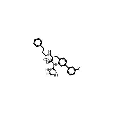 O=C(O)[C@H](CCc1ccccc1)N[C@@H](Cc1ccc(-c2cccc(Cl)c2)cc1)C(=O)NC1=NNNN1